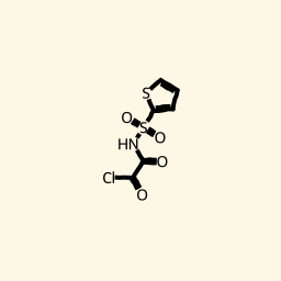 O=C(Cl)C(=O)NS(=O)(=O)c1cccs1